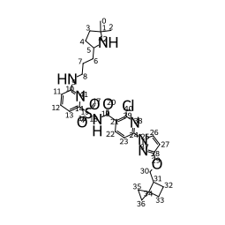 CC1(C)CCC(CCCNc2cccc(S(=O)(=O)NC(=O)c3ccc(-n4ccc(OCC5CCC56CC6)n4)nc3Cl)n2)N1